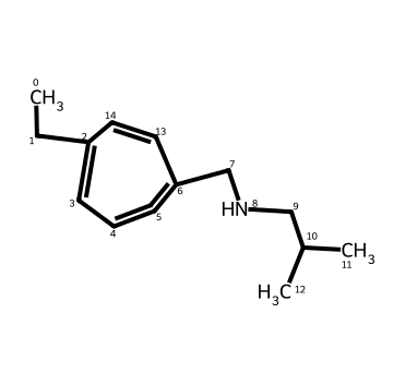 CCC1=CC=C=C(CNCC(C)C)C=C1